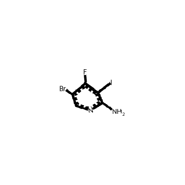 Nc1ncc(Br)c(F)c1I